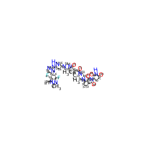 Cc1nc2c(F)cc(-c3nc(Nc4ccc(N5CCN(C(=O)C6C(C(=O)N7CCN(c8cccc9c8C(=O)N(C8CCC(=O)NC8=O)C9=O)CC7)C6(C)C)CC5)cn4)ncc3F)cc2n1C(C)C